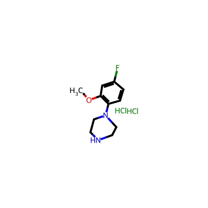 COc1cc(F)ccc1N1CCNCC1.Cl.Cl